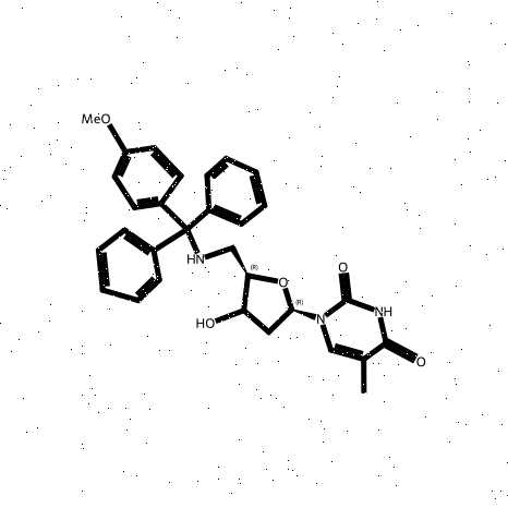 COc1ccc(C(NC[C@H]2O[C@@H](n3cc(C)c(=O)[nH]c3=O)CC2O)(c2ccccc2)c2ccccc2)cc1